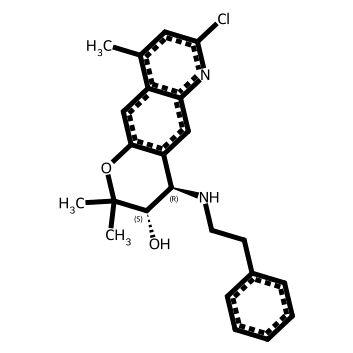 Cc1cc(Cl)nc2cc3c(cc12)OC(C)(C)[C@@H](O)[C@@H]3NCCc1ccccc1